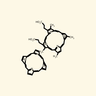 C1=Cc2cc3ccc(cc4nc(cc5ccc(cc1n2)[nH]5)C=C4)[nH]3.CC1=Cc2cc3[nH]c(cc4nc(cc5[nH]c(cc1n2)c(C)c5CCC(=O)O)C(CCC(=O)O)=C4C)cc3C